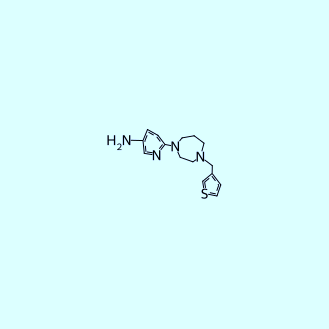 Nc1ccc(N2CCCN(Cc3ccsc3)CC2)nc1